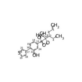 C=CCC(CC)C1(C)OOC1(OC)c1ccc(-c2ccsc2)c(O)c1